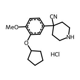 COc1ccc(C2(C#N)CCNCC2)cc1OC1CCCC1.Cl